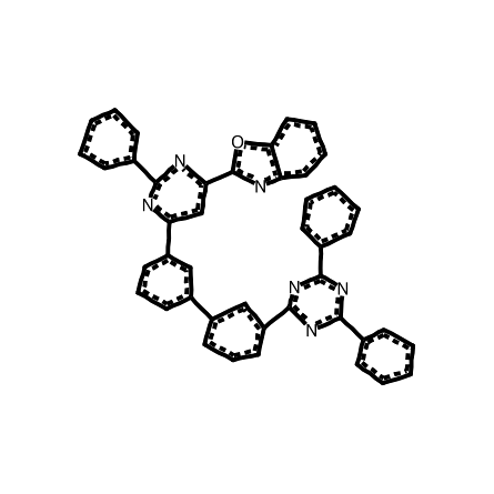 c1ccc(-c2nc(-c3cccc(-c4cccc(-c5nc(-c6ccccc6)nc(-c6ccccc6)n5)c4)c3)cc(-c3nc4ccccc4o3)n2)cc1